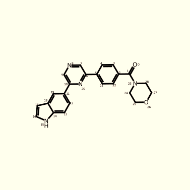 O=C(c1ccc(-c2cncc(-c3ccc4[nH]ccc4c3)n2)cc1)N1CCOCC1